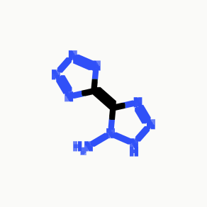 NN1NN=NC1=C1N=NN=N1